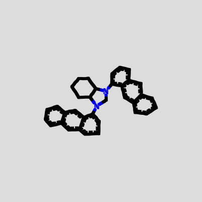 c1ccc2cc3c(N4CN(c5cccc6cc7ccccc7cc56)C5CCCCC54)cccc3cc2c1